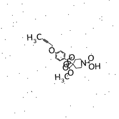 CC#CCOc1ccc(S(=O)(=O)C2(C(=O)OC)CCN(C(=O)O)CC2)cc1